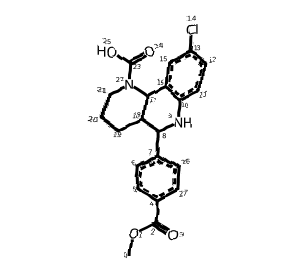 COC(=O)c1ccc(C2Nc3ccc(Cl)cc3C3C2CCCN3C(=O)O)cc1